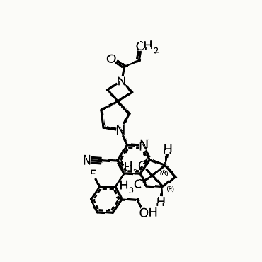 C=CC(=O)N1CC2(CCN(c3nc4c(c(-c5c(F)cccc5CO)c3C#N)C[C@H]3C[C@@H]4C3(C)C)C2)C1